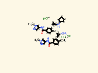 Cc1ccc(C(=O)Nc2cnn(C)c2)cc1[C@@H]1C[C@H]1N.Cc1ccc(C(=O)Nc2cnn(C)c2)cc1[C@@H]1C[C@H]1NC1CCCC1.Cl.Cl.Cl